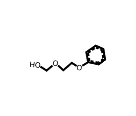 OCOCCOc1ccccc1